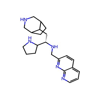 c1cnc2nc(CN[C@@H](CC3C4CCC3CNC4)C3CCCN3)ccc2c1